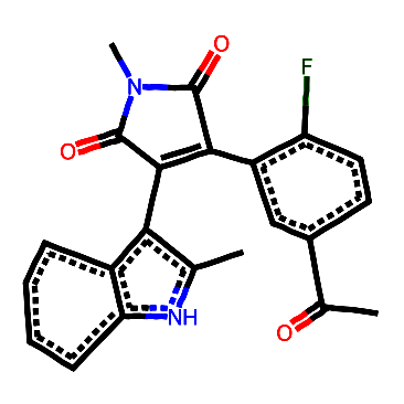 CC(=O)c1ccc(F)c(C2=C(c3c(C)[nH]c4ccccc34)C(=O)N(C)C2=O)c1